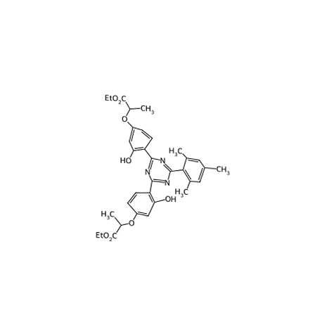 CCOC(=O)C(C)Oc1ccc(-c2nc(-c3ccc(OC(C)C(=O)OCC)cc3O)nc(-c3c(C)cc(C)cc3C)n2)c(O)c1